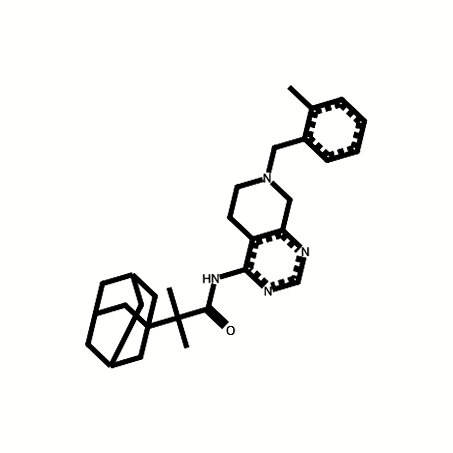 Cc1ccccc1CN1CCc2c(ncnc2NC(=O)C(C)(C)C23CC4CC(CC(C4)C2)C3)C1